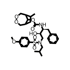 COc1ccc(S(=O)(=O)N(CC(C)C)C[C@@H](O)[C@H](Cc2ccccc2)NC(=O)OC2C3COOCC2C(C)C3)cc1